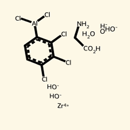 Clc1cc[c]([Al]([Cl])[Cl])c(Cl)c1Cl.NCC(=O)O.O.[OH-].[OH-].[OH-].[OH-].[Zr+4]